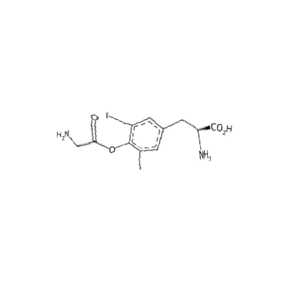 NCC(=O)Oc1c(I)cc(C[C@H](N)C(=O)O)cc1I